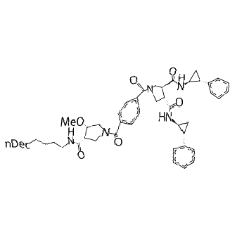 CCCCCCCCCCCCCCNC(=O)[C@H]1CN(C(=O)c2ccc(C(=O)N3C[C@@H](C(=O)N[C@H]4C[C@@H]4c4ccccc4)[C@H](C(=O)N[C@H]4C[C@@H]4c4ccccc4)C3)cc2)C[C@H]1OC